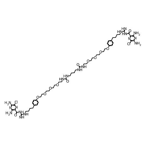 N=C(NCCCCc1ccc(OCCOCCOCCOCCNC(=O)NCCCCNC(=O)NCCOCCOCCOCCOc2ccc(CCCCNC(=N)NC(=O)c3nc(Cl)c(N)nc3N)cc2)cc1)NC(=O)c1nc(Cl)c(N)nc1N